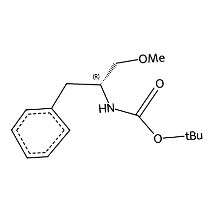 COC[C@@H](Cc1ccccc1)NC(=O)OC(C)(C)C